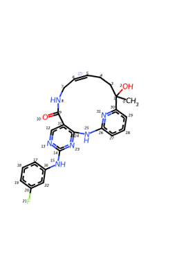 CC1(O)CC/C=C\CNC(=O)c2cnc(Nc3cccc(F)c3)nc2Nc2cccc1n2